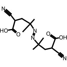 CC(C)(CC(C#N)C(=O)O)N=NC(C)(C)CC(C#N)C(=O)O